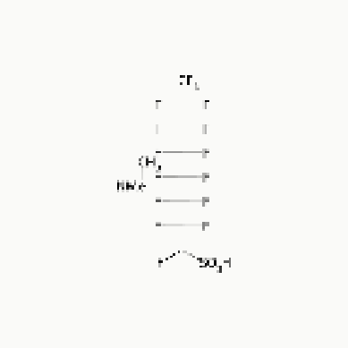 CNC.O=S(=O)(O)C(F)C(F)(F)C(F)(F)C(F)(F)C(F)(F)C(F)(F)C(F)(F)C(F)(F)F